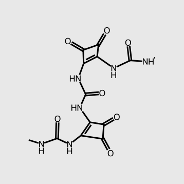 CNC(=O)Nc1c(NC(=O)Nc2c(NC(=O)NC)c(=O)c2=O)c(=O)c1=O